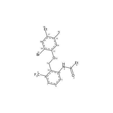 CCC(=O)Nc1cccc(C(F)(F)F)c1COc1cc(C)c(CC)cc1Br